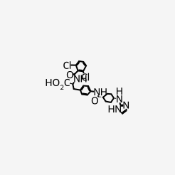 O=C(N[C@@H](Cc1ccc(NC(=O)[C@H]2CC[C@@H](Nc3ncc[nH]3)CC2)cc1)C(=O)O)c1c(Cl)cccc1Cl